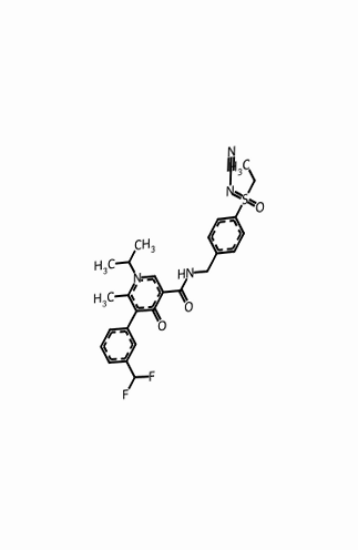 CCS(=O)(=NC#N)c1ccc(CNC(=O)c2cn(C(C)C)c(C)c(-c3cccc(C(F)F)c3)c2=O)cc1